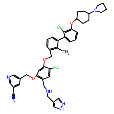 Cc1c(COc2cc(OCc3cncc(C#N)c3)c(CNCc3cn[nH]c3)cc2Cl)cccc1-c1cccc(OC2CCC(N3CCCC3)CC2)c1Cl